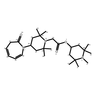 CN1C(C)(C)CC(OC(=O)CN2C(C)(C)CC(N3C=CC=CCC3=O)CC2(C)C)CC1(C)C